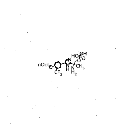 CCCCCCCCOc1ccc(-c2cnc([C@@](C)(N)COP(=O)(O)O)[nH]2)cc1C(F)(F)F